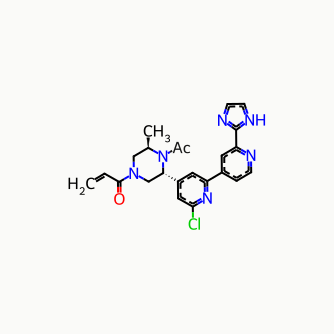 C=CC(=O)N1C[C@@H](C)N(C(C)=O)[C@H](c2cc(Cl)nc(-c3ccnc(-c4ncc[nH]4)c3)c2)C1